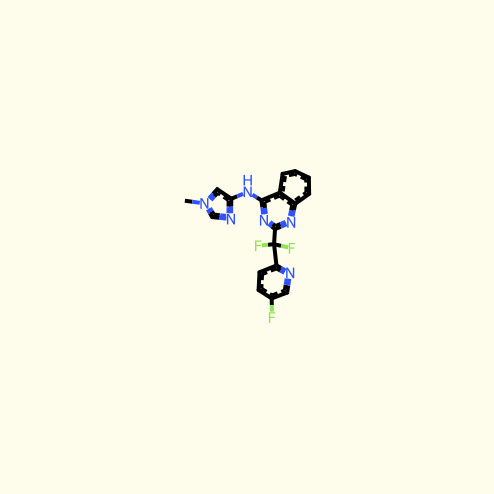 Cn1cnc(Nc2nc(C(F)(F)c3ccc(F)cn3)nc3ccccc23)c1